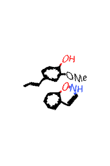 C1=Cc2ccccc2ON1.CC=Cc1ccc(O)c(OC)c1